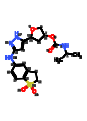 CC(C)NC(=O)O[C@@H]1CO[C@H](c2cc(Nc3ccc4c(c3)CCS4(=O)=O)n[nH]2)C1